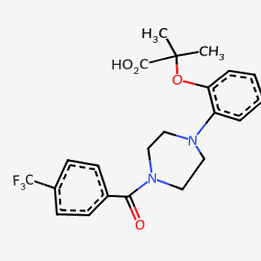 CC(C)(Oc1ccccc1N1CCN(C(=O)c2ccc(C(F)(F)F)cc2)CC1)C(=O)O